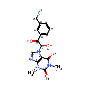 Cn1c(=O)c2c(ncn2C(O)C(=O)c2cccc(CCl)c2)n(C)c1=O